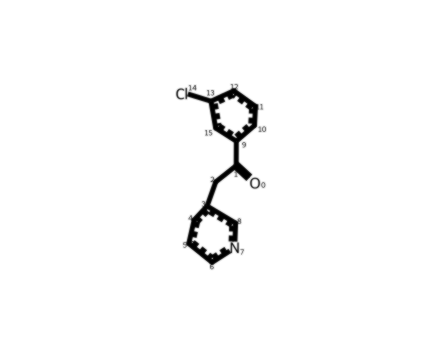 O=C(Cc1cccnc1)c1cccc(Cl)c1